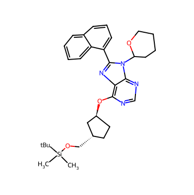 CC(C)(C)[Si](C)(C)OC[C@H]1CC[C@H](Oc2ncnc3c2nc(-c2cccc4ccccc24)n3C2CCCCO2)C1